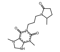 CC1CCC(=O)N1CCCn1c(=O)c2c(n(C)c1=O)NCN2C